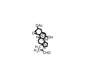 CC(=O)OC1CC2=CC(O)[C@H]3[C@@H]4CC[C@H](C(C)C=O)[C@@]4(C)CC[C@@H]3[C@@]2(C)C2OC12